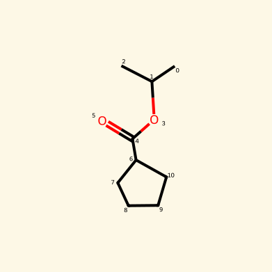 CC(C)OC(=O)C1CCCC1